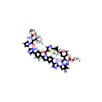 COC(=O)NC(C(=O)N1[C@@H]2C[C@@H]2C[C@H]1c1ncc(-c2ccc3c(c2)cc2n3C(c3cnc(C4CC4)s3)Oc3cc(-c4cnc([C@@H]5CCCN5C(=O)[C@@H](NC(=O)OC)C(C)C)[nH]4)cc(F)c3-2)[nH]1)C1CCOC(C)(C)C1